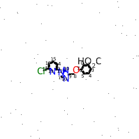 O=C(O)c1ccccc1OCc1ncn(-c2cccc(Cl)n2)n1